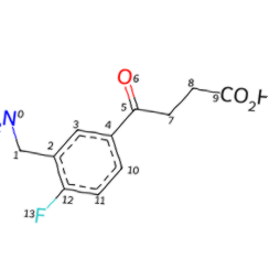 NCc1cc(C(=O)CCC(=O)O)ccc1F